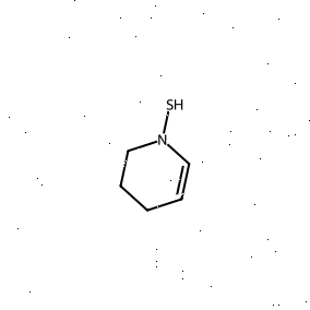 SN1C=CCCC1